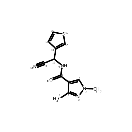 Cc1nn(C)cc1C(=O)NC(C#N)c1ccsc1